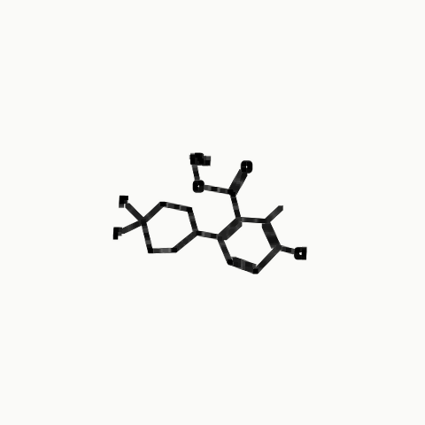 Cc1c(Cl)ccc(C2CCC(F)(F)CC2)c1C(=O)OC(C)(C)C